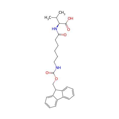 CC(C)[C@H](NC(=O)CCCCCNC(=O)OCC1c2ccccc2-c2ccccc21)C(=O)O